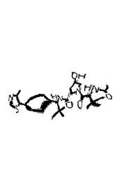 CC(=O)N[C@H](C(=O)N1C[C@H](O)C[C@H]1C(=O)N[C@H](c1ccc(-c2scnc2C)cc1)C(C)(C)C)C(C)(C)C